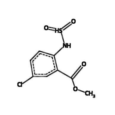 COC(=O)c1cc(Cl)ccc1N[SH](=O)=O